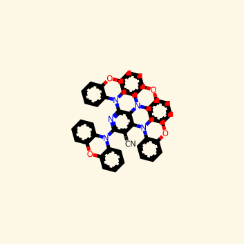 N#Cc1c(N2c3ccccc3Oc3ccccc32)nc(N2c3ccccc3Oc3ccccc32)c(N2c3ccccc3Oc3ccccc32)c1N1c2ccccc2Oc2ccccc21